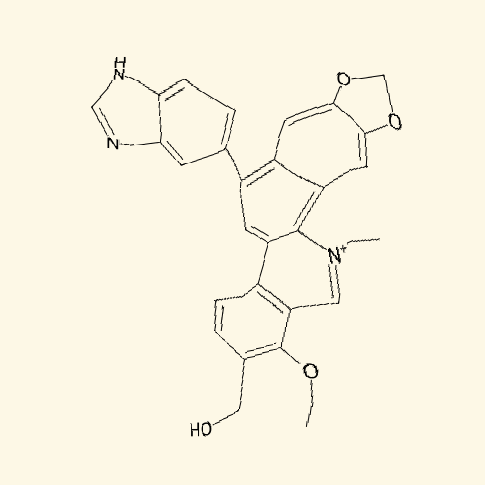 COc1c(CO)ccc2c1c[n+](C)c1c3cc4c(cc3c(-c3ccc5[nH]cnc5c3)cc21)OCO4